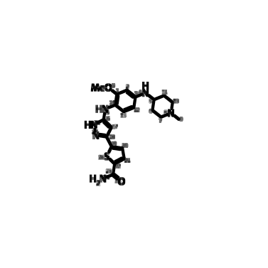 COc1cc(NC2CCN(C)CC2)ccc1Nc1cc(-c2ccc(C(N)=O)s2)n[nH]1